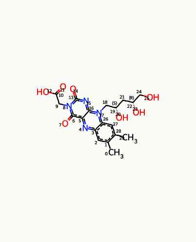 Cc1cc2nc3c(=O)n(CC(=O)O)c(=O)nc-3n(C[C@@H](O)C[C@@H](O)CO)c2cc1C